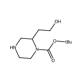 CC(C)(C)OC(=O)N1CCNCC1CCO